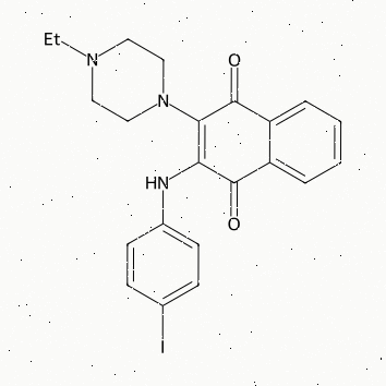 CCN1CCN(C2=C(Nc3ccc(I)cc3)C(=O)c3ccccc3C2=O)CC1